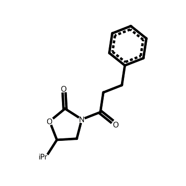 CC(C)C1CN(C(=O)CCc2ccccc2)C(=O)O1